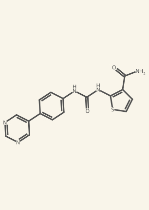 NC(=O)c1ccsc1NC(=O)Nc1ccc(-c2cncnc2)cc1